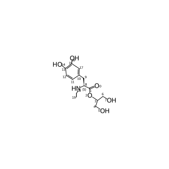 O=C(OC(CO)CO)[C@H](Cc1ccc(O)c(O)c1)NI